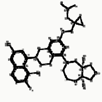 CCc1c(F)ccc2cc(O)cc(N3CCc4c(nc(OCC5(CN(C)C)CC5)nc4N4CCO[C@@H]5COC[C@@H]5C4)C3)c12